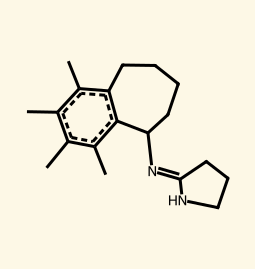 Cc1c(C)c(C)c2c(c1C)CCCCC2/N=C1\CCCN1